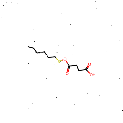 CCCCCCSOC(=O)CCC(=O)O